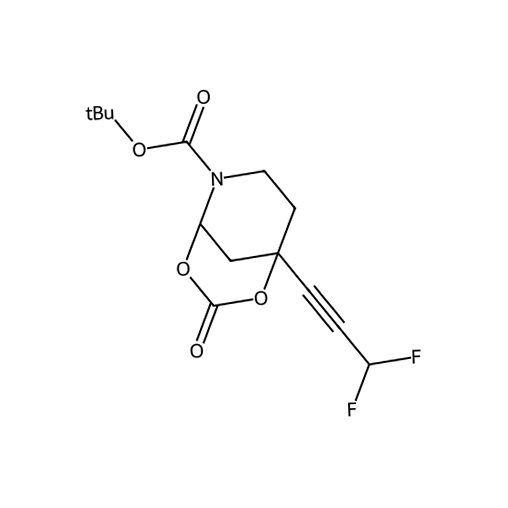 CC(C)(C)OC(=O)N1CCC2(C#CC(F)F)CC1OC(=O)O2